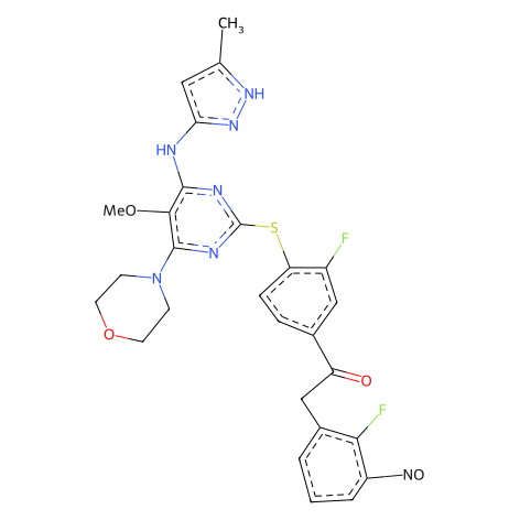 COc1c(Nc2cc(C)[nH]n2)nc(Sc2ccc(C(=O)Cc3cccc(N=O)c3F)cc2F)nc1N1CCOCC1